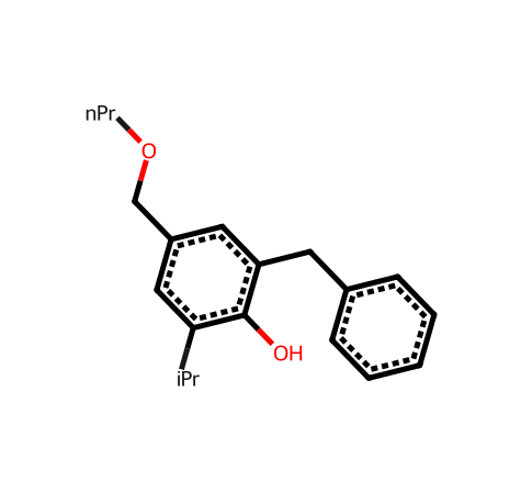 CCCOCc1cc(Cc2ccccc2)c(O)c(C(C)C)c1